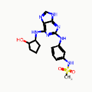 CS(=O)(=O)Nc1cccc(Nc2nc(NC3CCCC3O)c3nc[nH]c3n2)c1